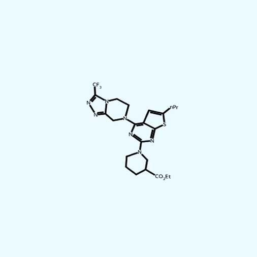 CCCc1cc2c(N3CCn4c(nnc4C(F)(F)F)C3)nc(N3CCCC(C(=O)OCC)C3)nc2s1